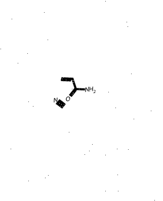 C#N.C=CC(N)=O